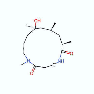 C[C@H]1C[C@@H](C)C(=O)NCCC(=O)N(C)CCC[C@@](C)(O)C1